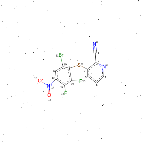 N#Cc1ncccc1Sc1c(Br)cc([N+](=O)[O-])c(F)c1F